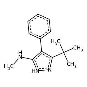 CNc1[nH]nc(C(C)(C)C)c1-c1ccccc1